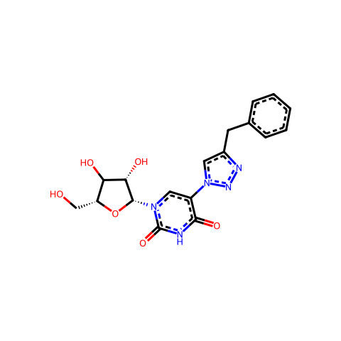 O=c1[nH]c(=O)n([C@@H]2O[C@H](CO)C(O)[C@@H]2O)cc1-n1cc(Cc2ccccc2)nn1